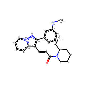 CCC1CCCCN1C(=O)C=Cc1c(-c2cccc(NC)c2)nn2ccccc12